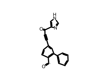 O=[C]c1ccc(C#CC(=O)c2c[nH]cn2)cc1-c1ccccc1